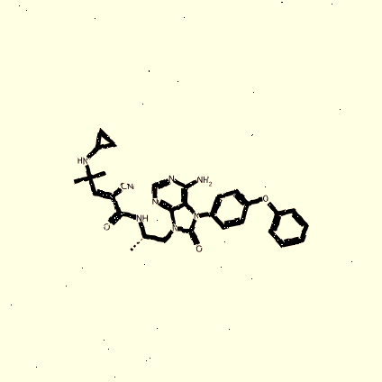 C[C@@H](Cn1c(=O)n(-c2ccc(Oc3ccccc3)cc2)c2c(N)ncnc21)NC(=O)/C(C#N)=C/C(C)(C)NC1CC1